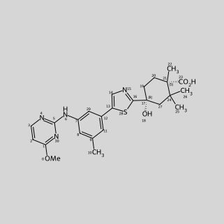 COc1ccnc(Nc2cc(C)cc(-c3cnc([C@@]4(O)CC[C@](C)(C(=O)O)C(C)(C)C4)s3)c2)n1